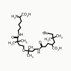 CC(C)(C)CC(C)(C)CC(CCC(=O)NCCC(C)(C)OCCC(C)(C)C(=O)NCCCCC(N)C(=O)O)C(=O)O